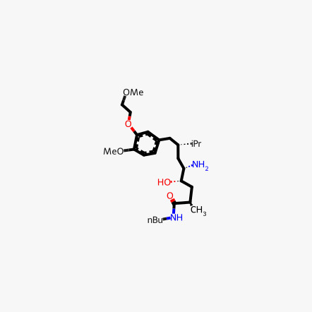 CCCCNC(=O)[C@H](C)C[C@H](O)[C@@H](N)C[C@H](Cc1ccc(OC)c(OCCOC)c1)C(C)C